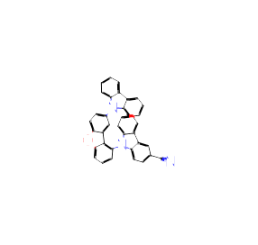 N#Cc1ccc2c(c1)c1ccccc1n2-c1cccc2oc3ccc(-n4c5ccccc5c5ccccc54)cc3c12